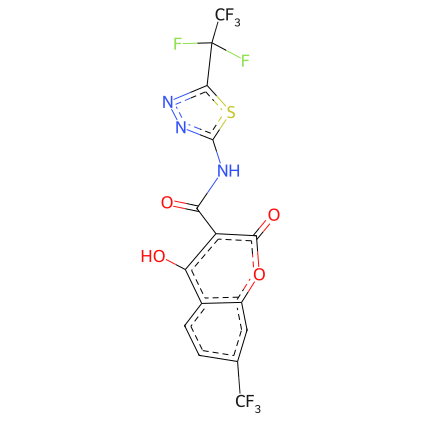 O=C(Nc1nnc(C(F)(F)C(F)(F)F)s1)c1c(O)c2ccc(C(F)(F)F)cc2oc1=O